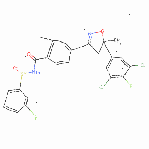 Cc1cc(C2=NOC(c3cc(Cl)c(F)c(Cl)c3)(C(F)(F)F)C2)ccc1C(=O)N[S+]([O-])c1cccc(F)c1